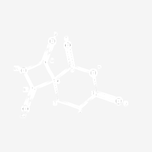 O=C1CCC2(C(=O)O1)C(=O)OC2=O